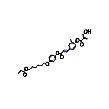 C=CC(=O)OCCCCCCOc1ccc(OC(=O)/C=C/c2ccc(OC(=O)C(=C)CO)c(C)c2)cc1